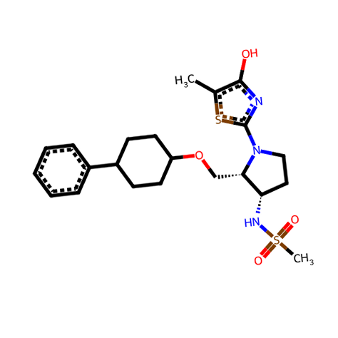 Cc1sc(N2CC[C@H](NS(C)(=O)=O)[C@@H]2COC2CCC(c3ccccc3)CC2)nc1O